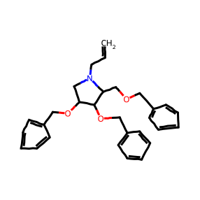 C=CCN1CC(OCc2ccccc2)C(OCc2ccccc2)C1COCc1ccccc1